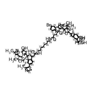 Cc1cc([C@H](C(=O)N2C[C@H](O)C[C@H]2C(=O)N[C@@H](CC(=O)NCCCCCCCCNC(=O)CCN(C(=O)[C@@H]2CCCN2C(=O)[C@@H](NC(=O)c2cc3cc(C(F)(F)P(=O)(O)O)ccc3s2)C(C)(C)C)c2ccc(Br)cc2)c2ccc(-c3scnc3C)cc2)C(C)C)on1